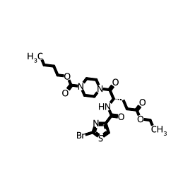 CCCCOC(=O)N1CCN(C(=O)[C@H](CCC(=O)OCC)NC(=O)c2csc(Br)n2)CC1